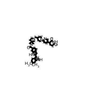 CC1(C)CCc2c(-c3cc4ccc(C(=O)N5CC6(CCN(CC7CCN(c8ccc(C9CCC(=O)NC9=O)cn8)CC7)C6)C5)cc4[nH]3)n[nH]c2C1